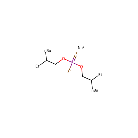 CCCCC(CC)COP(=S)([S-])OCC(CC)CCCC.[Na+]